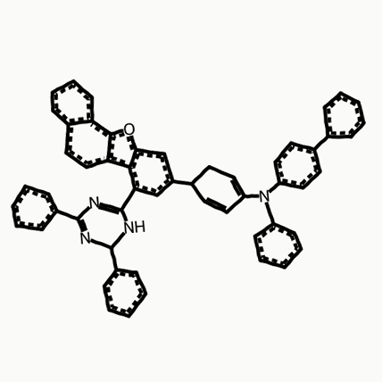 C1=CC(c2cc(C3=NC(c4ccccc4)=NC(c4ccccc4)N3)c3c(c2)oc2c4ccccc4ccc23)CC=C1N(c1ccccc1)c1ccc(-c2ccccc2)cc1